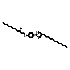 CCCCCCCCCCCCc1cnc(-c2ccc(OCCC(F)CCCCCCCC)cc2)nc1